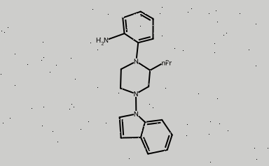 CCCC1CN(n2ccc3ccccc32)CCN1c1ccccc1N